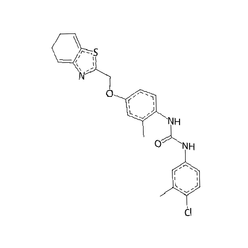 Cc1cc(NC(=O)Nc2ccc(OCc3nc4c(s3)=CCCC=4)cc2C)ccc1Cl